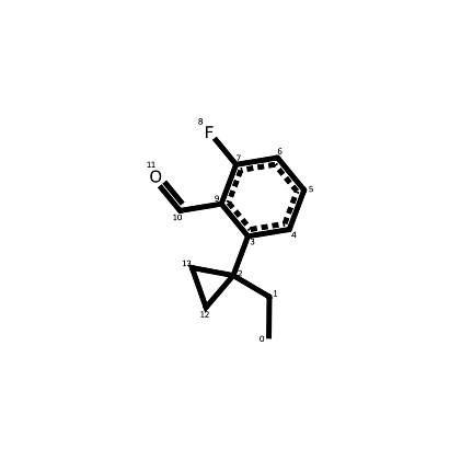 CCC1(c2cccc(F)c2C=O)CC1